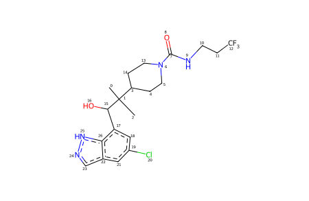 CC(C)(C1CCN(C(=O)NCCC(F)(F)F)CC1)C(O)c1cc(Cl)cc2cn[nH]c12